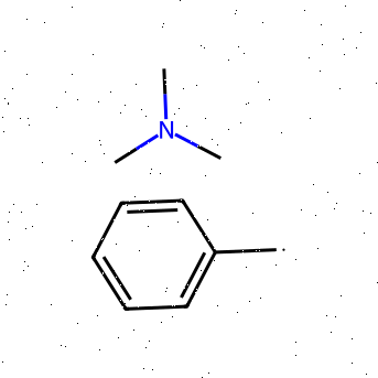 CN(C)C.[CH2]c1ccccc1